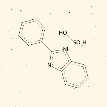 O=S(=O)(O)O.c1ccc(-c2nc3ccccc3[nH]2)cc1